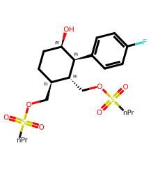 CCCS(=O)(=O)OC[C@H]1CC[C@@H](O)[C@@H](c2ccc(F)cc2)[C@@H]1COS(=O)(=O)CCC